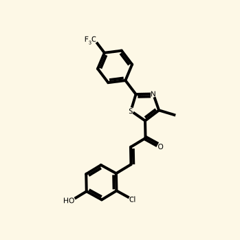 Cc1nc(-c2ccc(C(F)(F)F)cc2)sc1C(=O)C=Cc1ccc(O)cc1Cl